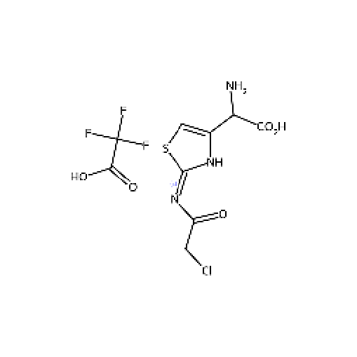 NC(C(=O)O)c1cs/c(=N/C(=O)CCl)[nH]1.O=C(O)C(F)(F)F